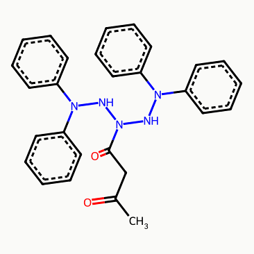 CC(=O)CC(=O)N(NN(c1ccccc1)c1ccccc1)NN(c1ccccc1)c1ccccc1